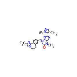 Cc1cnn(C(C)C)c1-c1ncc2c(n1)N(Cc1ccc3c(c1)CCCn1cc(C(F)(F)F)nc1-3)CC(=O)N2C